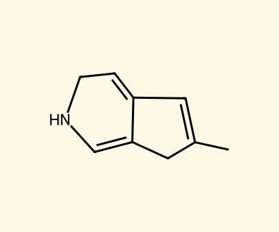 CC1=CC2=CCNC=C2C1